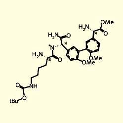 COC(=O)[C@@H](N)c1ccc(OC)c(-c2cc([C@@H](C(N)=O)N(C)C(=O)[C@@H](N)CCCCNC(=O)OC(C)(C)C)ccc2OC)c1